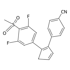 CS(=O)(=O)c1c(F)cc(C2=C(c3ccc(C#N)cc3)C=CC2)cc1F